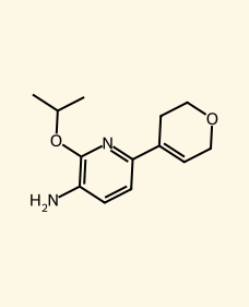 CC(C)Oc1nc(C2=CCOCC2)ccc1N